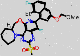 CCc1c(F)ccc2cc(OCOC)cc(-c3nc4c5c(nc(S(C)(=O)=O)nc5c3F)N3CCCCC[C@H]3CO4)c12